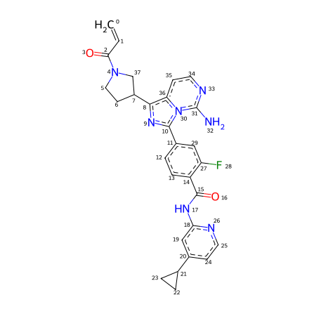 C=CC(=O)N1CCC(c2nc(-c3ccc(C(=O)Nc4cc(C5CC5)ccn4)c(F)c3)n3c(N)nccc23)C1